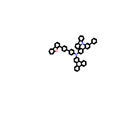 c1ccc(-c2ccc(-c3ccc(N(c4ccc(-c5ccc(-c6cccc7c6oc6ccccc67)cc5)cc4)c4ccc5c6ccccc6c6ccccc6c5c4)cc3)c(-n3c4ccccc4c4ccccc43)c2)cc1